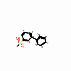 CS(=O)(=O)c1[c]ccc(-c2ccccc2)c1